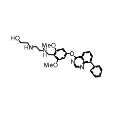 COc1cc(Oc2ncnc3c(-c4ccccc4)cccc23)cc(OC)c1CNCCNCCO